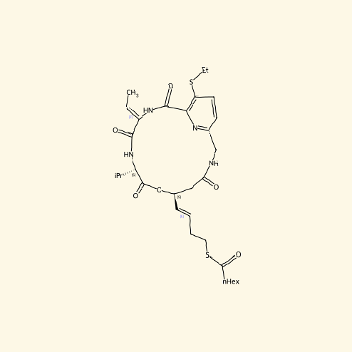 C/C=C1\NC(=O)c2nc(ccc2SCC)CNC(=O)C[C@@H](/C=C/CCSC(=O)CCCCCC)OC(=O)[C@H](C(C)C)NC1=O